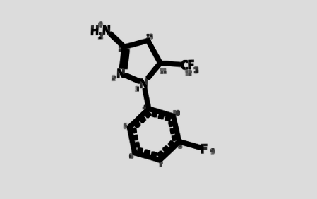 NC1=NN(c2cccc(F)c2)C(C(F)(F)F)C1